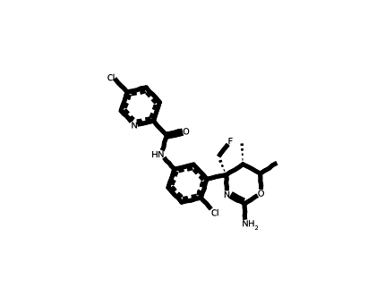 CC1OC(N)=N[C@@](CF)(c2cc(NC(=O)c3ccc(Cl)cn3)ccc2Cl)[C@@H]1C